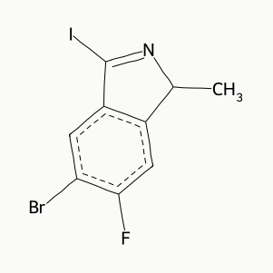 CC1N=C(I)c2cc(Br)c(F)cc21